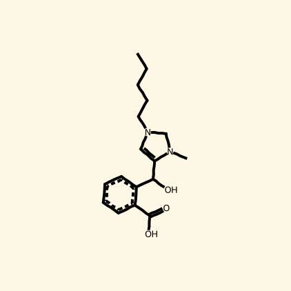 CCCCCN1C=C(C(O)c2ccccc2C(=O)O)N(C)C1